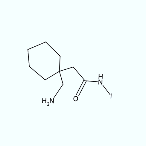 NCC1(CC(=O)NI)CCCCC1